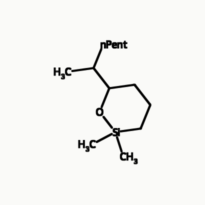 CCCCCC(C)C1CCC[Si](C)(C)O1